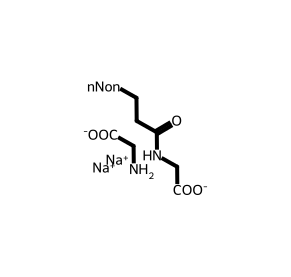 CCCCCCCCCCCC(=O)NCC(=O)[O-].NCC(=O)[O-].[Na+].[Na+]